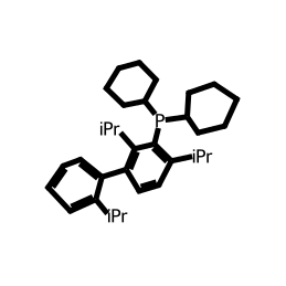 CC(C)c1ccccc1-c1ccc(C(C)C)c(P(C2CCCCC2)C2CCCCC2)c1C(C)C